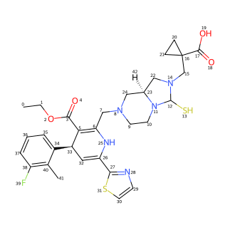 CCOC(=O)C1=C(CN2CCN3C(S)N(CC4(C(=O)O)CC4)C[C@@H]3C2)NC(c2nccs2)=C[C@H]1c1cccc(F)c1C